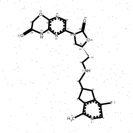 Cc1ncc(F)c2c1CC(CNCC[C@@H]1CN(c3cnc4c(n3)NC(=O)CO4)C(=O)O1)C2